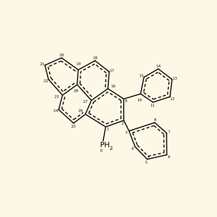 Pc1c(-c2ccccc2)c(-c2ccccc2)c2ccc3cccc4ccc1c2c43